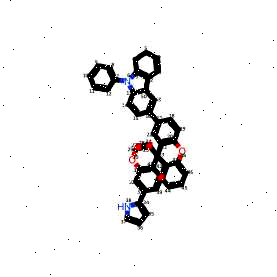 C1=CC2=C(CC1)N(c1ccccc1)C1C=CC(c3ccc4c(c3)C3(c5ccccc5Oc5cc(-c6ccc[nH]6)ccc53)c3ccccc3O4)=CC21